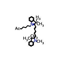 CC(=O)CCCCC[N+]1=C(/C=C/C=C/C=C2/N(C)c3ccccc3C2(C)C)C(C)(C)c2ccccc21